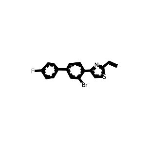 C=Cc1nc(-c2ccc(-c3ccc(F)cc3)cc2Br)cs1